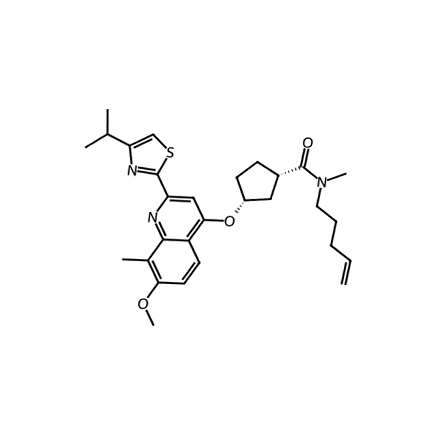 C=CCCCN(C)C(=O)[C@H]1CC[C@@H](Oc2cc(-c3nc(C(C)C)cs3)nc3c(C)c(OC)ccc23)C1